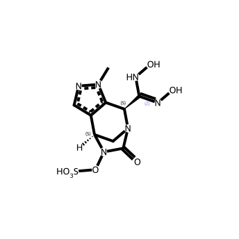 Cn1ncc2c1[C@@H](/C(=N/O)NO)N1C[C@H]2N(OS(=O)(=O)O)C1=O